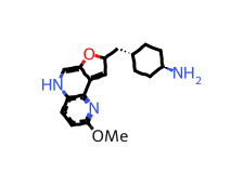 COc1ccc2c(n1)C1=CC(C[C@H]3CC[C@H](N)CC3)OC1=CN2